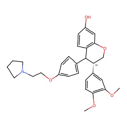 COc1ccc([C@H]2COc3cc(O)ccc3C2c2ccc(OCCN3CCCC3)cc2)cc1OC